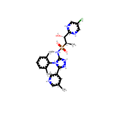 COc1cccc(OC)c1-n1c(NS(=O)(=O)[C@H](C)[C@H](O)c2ncc(Cl)cn2)nnc1-c1cncc(C)c1